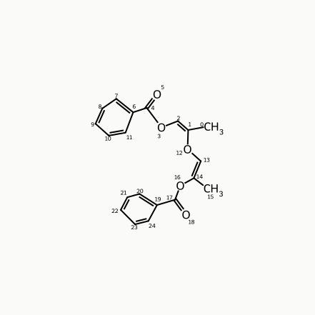 CC(=COC(=O)c1ccccc1)OC=C(C)OC(=O)c1ccccc1